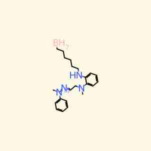 BCCCCCCNc1ccccc1N(C)C/C=N/N(C)c1ccccc1